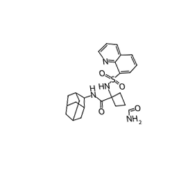 NC=O.O=C(NC1C2CC3CC(C2)CC1C3)C1(NS(=O)(=O)c2cccc3cccnc23)CCC1